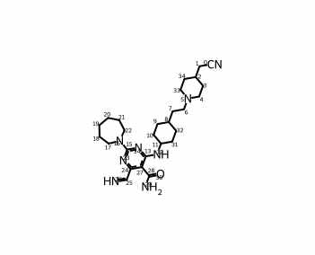 N#CCC1CCN(CCC2CCC(Nc3nc(N4CCCCCC4)nc(C=N)c3C(N)=O)CC2)CC1